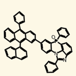 O=P1(c2ccccc2)c2cc(-c3ccc4c(-c5ccccc5)c5ccccc5c(-c5cccc6ccccc56)c4c3)ccc2-n2c(-c3ccccc3)nc3cccc1c32